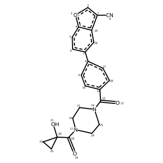 N#Cc1coc2ccc(-c3ccc(C(=O)N4CCN(C(=O)C5(O)CC5)CC4)cc3)cc12